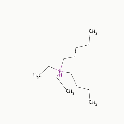 CCCCC[PH](CC)(CC)CCCC